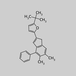 Cc1cc2c(c(-c3ccccc3)c1C)C=C(c1ccc(C(C)(C)C)o1)C2